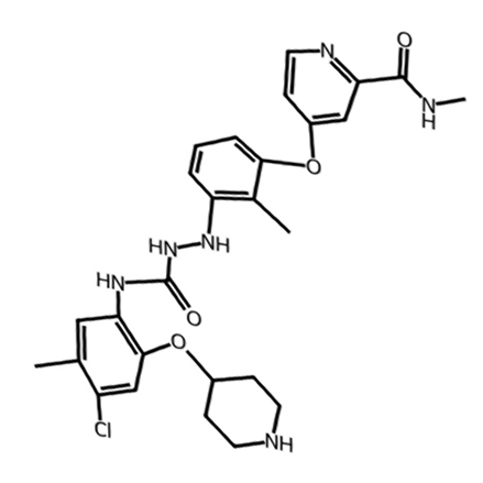 CNC(=O)c1cc(Oc2cccc(NNC(=O)Nc3cc(C)c(Cl)cc3OC3CCNCC3)c2C)ccn1